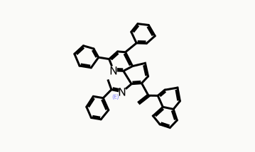 C=C(c1ccc2c(-c3ccccc3)cc(-c3ccccc3)nc2c1/N=C(\C)c1ccccc1)c1cccc2ccccc12